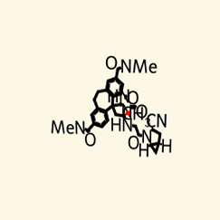 CNC(=O)c1ccc2c(c1)CCc1cc(C(=O)NC)ccc1C2(C[C@@H](C)NCC(=O)N1[C@H](C#N)C[C@@H]2C[C@@H]21)c1nc(=O)o[nH]1